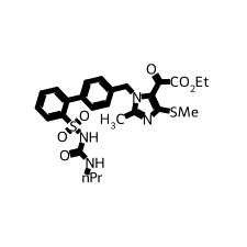 CCCNC(=O)NS(=O)(=O)c1ccccc1-c1ccc(Cn2c(C)nc(SC)c2C(=O)C(=O)OCC)cc1